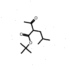 CC(=O)C(CC(C)C)C(=O)OC(C)(C)C